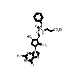 C=C1[C@H](CO[P@](=O)(NCCC(=O)OCC)Oc2ccccc2)[C@@H](O)C[C@@H]1n1cnc2c(=O)[nH]c(N)nc21